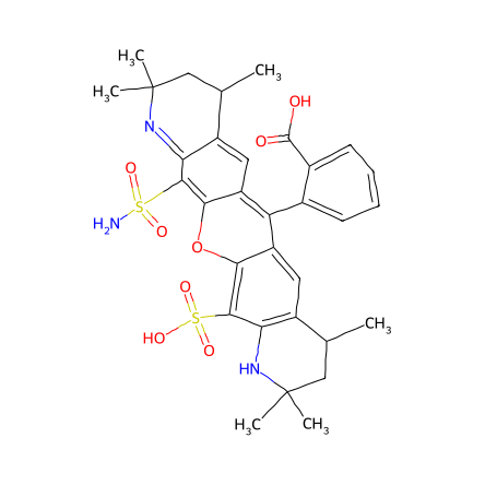 CC1CC(C)(C)Nc2c1cc1c(c2S(=O)(=O)O)Oc2c(S(N)(=O)=O)c3c(cc2=C1c1ccccc1C(=O)O)C(C)CC(C)(C)N=3